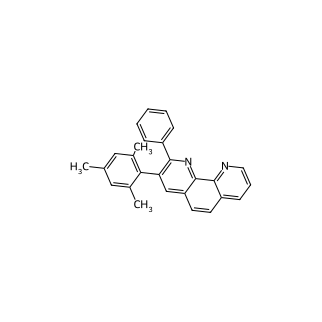 Cc1cc(C)c(-c2cc3ccc4cccnc4c3nc2-c2ccccc2)c(C)c1